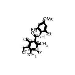 CCc1cc(OC)cc(CC)c1NC(=O)c1c(Cl)c(CC(F)(F)F)c(C)[n+]([O-])c1C